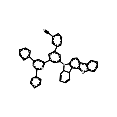 N#Cc1cccc(-c2cc(-c3cc(-c4ccccc4)nc(-c4ccccc4)n3)cc(N3c4ccc5c(oc6ccccc65)c4C4C=CC=CC43)c2)c1